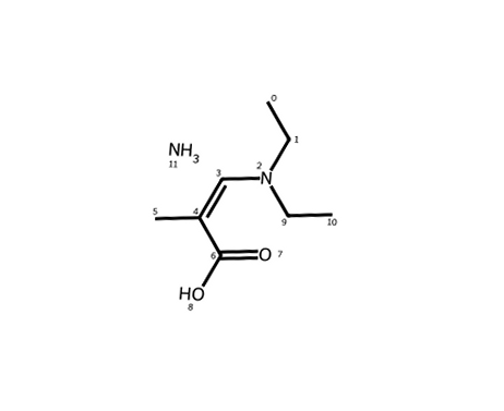 CCN(C=C(C)C(=O)O)CC.N